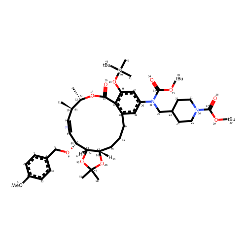 COc1ccc(CO[C@@H]2/C=C\[C@@H](C)[C@H](C)OC(=O)c3c(cc(N(CC4CCN(C(=O)OC(C)(C)C)CC4)C(=O)OC(C)(C)C)cc3O[Si](C)(C)C(C)(C)C)CCC[C@@H]3OC(C)(C)O[C@@H]32)cc1